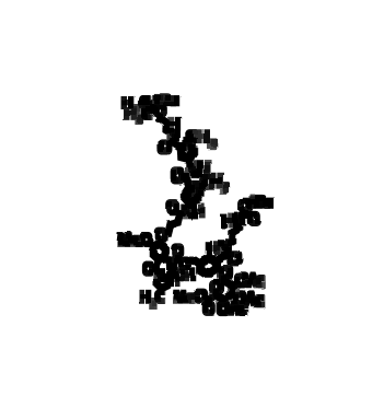 C=C1C[C@H]2C(O)N(C(=O)OCc3ccc(O[C@@H]4O[C@H](C(=O)OC)[C@@H](OC(C)=O)[C@H](OC(C)=O)[C@H]4OC(C)=O)c(C(=O)NCCCNC(=O)OC(C)(C)C)c3)c3cc(OCCCC(=O)Nc4cc(C(=O)Nc5cc(C(=O)NCCCO[Si](C)(C)C(C)(C)C)n(C)c5)n(C)c4)c(OC)cc3C(=O)N2C1